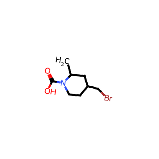 CC1CC(CBr)CCN1C(=O)O